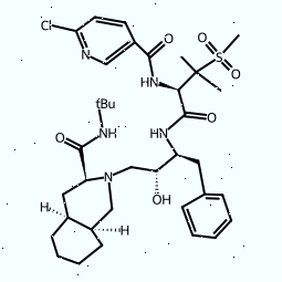 CC(C)(C)NC(=O)[C@@H]1C[C@@H]2CCCC[C@@H]2CN1C[C@@H](O)[C@H](Cc1ccccc1)NC(=O)[C@@H](NC(=O)c1ccc(Cl)nc1)C(C)(C)S(C)(=O)=O